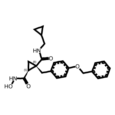 O=C(NO)[C@H]1C[C@]1(Cc1ccc(OCc2ccccc2)cc1)C(=O)NCC1CC1